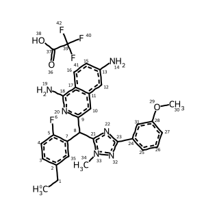 CCc1ccc(F)c(C(c2cc3cc(N)ccc3c(N)n2)c2nc(-c3cccc(OC)c3)nn2C)c1.O=C(O)C(F)(F)F